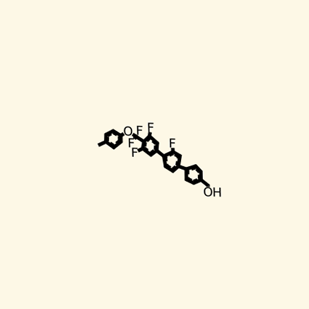 Cc1ccc(OC(F)(F)c2c(F)cc(-c3ccc(-c4ccc(CO)cc4)cc3F)cc2F)cc1